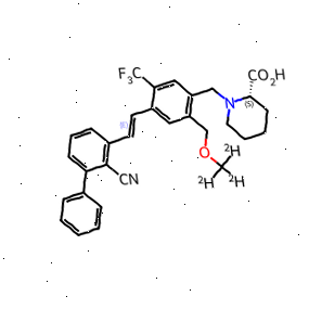 [2H]C([2H])([2H])OCc1cc(/C=C/c2cccc(-c3ccccc3)c2C#N)c(C(F)(F)F)cc1CN1CCCC[C@H]1C(=O)O